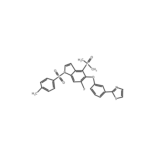 Cc1ccc(S(=O)(=O)n2ccc3c(P(C)(C)=O)c(Oc4cccc(-c5n[c]cs5)c4)c(F)cc32)cc1